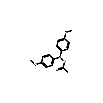 COc1ccc(N(OC(C)=O)c2ccc(OC)cc2)cc1